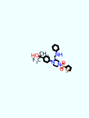 C[C@@](O)(c1ccc(N2CCN(S(=O)(=O)c3cccs3)C[C@@H]2CNc2ccccc2)cc1)C(F)(F)F